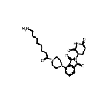 NCCCCCCCC(=O)N1CCN(c2cccc3c2C(=O)N(C2CCC(=O)NC2=O)C3=O)CC1